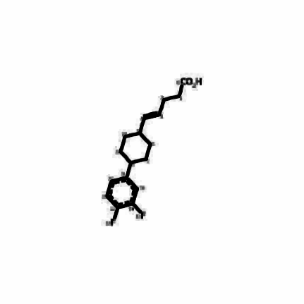 O=C(O)CCC=CC1CCC(c2ccc(F)c(F)c2)CC1